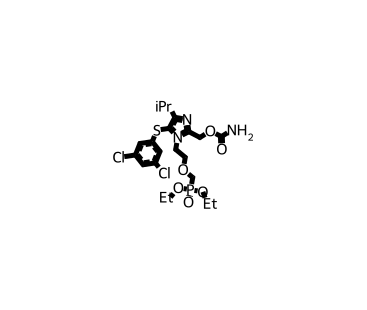 CCOP(=O)(COCCn1c(COC(N)=O)nc(C(C)C)c1Sc1cc(Cl)cc(Cl)c1)OCC